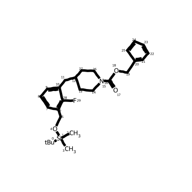 CC(C)(C)[Si](C)(C)OCc1cccc(CC2CCN(C(=O)OCc3ccccc3)CC2)c1F